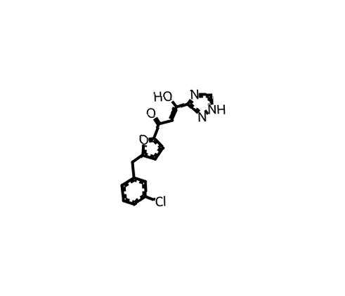 O=C(C=C(O)c1nc[nH]n1)c1ccc(Cc2cccc(Cl)c2)o1